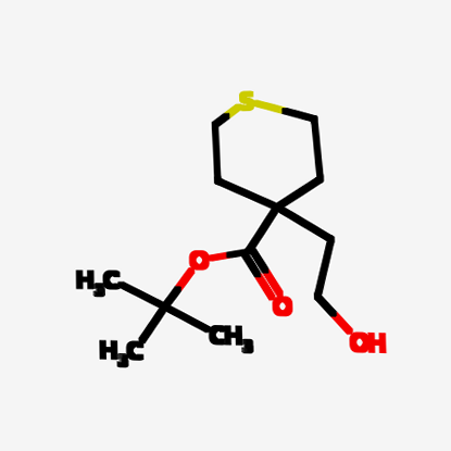 CC(C)(C)OC(=O)C1(CCO)CCSCC1